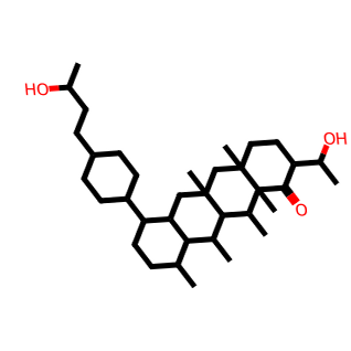 CC(O)CCC1CCC(C2CCC(C)C3C(C)C4C(C)C5(C)C(=O)C(C(C)O)CCC5(C)CC4(C)CC23)CC1